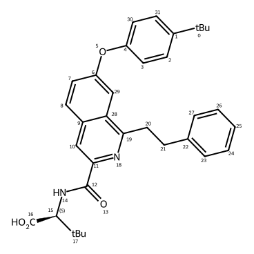 CC(C)(C)c1ccc(Oc2ccc3cc(C(=O)N[C@H](C(=O)O)C(C)(C)C)nc(CCc4ccccc4)c3c2)cc1